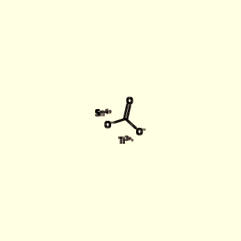 O=C([O-])[O-].[Sn+4].[Ti+3]